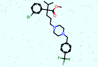 COC(=O)C(CCCN1CCN(Cc2ccc(C(F)(F)F)cc2)CC1)(c1cccc(Br)c1)C(C)C